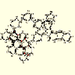 c1ccc(-c2cc(-c3ccc(-n4c5ccccc5c5c6oc7ccccc7c6ccc54)c(-c4cc(-c5ccccc5)nc(-c5cccc(-c6cccc(N7c8ccccc8B8c9ccccc9N(c9ccccc9)c9cccc7c98)c6)c5)n4)c3)nc(-c3ccccc3)n2)cc1